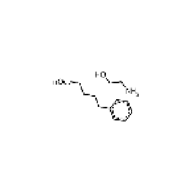 CCCCCCCCCCCCc1ccccc1.NCCO